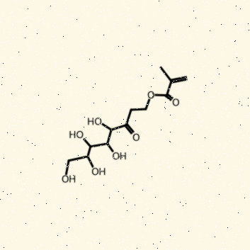 C=C(C)C(=O)OCCC(=O)C(O)C(O)C(O)C(O)CO